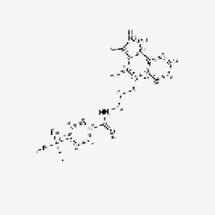 Cc1[nH]nc2c1c(=O)n(CCCNC(=O)c1ccc(C(F)(F)F)cc1)c1ccccc21